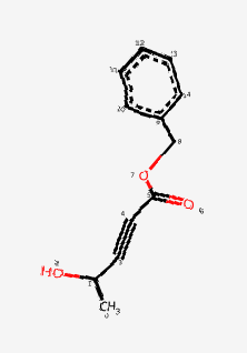 CC(O)C#CC(=O)OCc1ccccc1